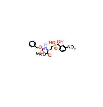 COC(=O)[C@H](CCP(=O)(O)C(O)c1cccc([N+](=O)[O-])c1)NC(=O)OCC1=CCCC=C1